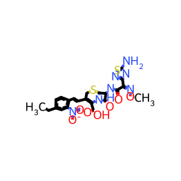 CCc1ccc(/C=C/C2=C(C(=O)O)N3C(=O)C(NC(=O)/C(=N\OC)c4nsc(N)n4)C3SC2)c([N+](=O)[O-])c1